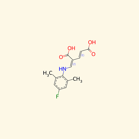 Cc1cc(F)cc(C)c1N/C=C(/C=C/C(=O)O)C(=O)O